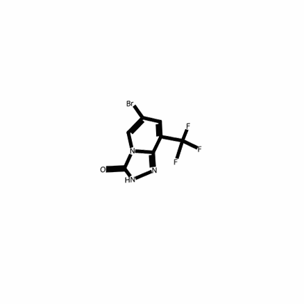 O=c1[nH]nc2c(C(F)(F)F)cc(Br)cn12